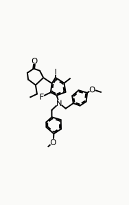 CCC1CCC(=O)CC1c1c(F)c(N(Cc2ccc(OC)cc2)Cc2ccc(OC)cc2)cc(C)c1I